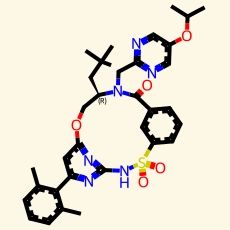 Cc1cccc(C)c1-c1cc2nc(n1)NS(=O)(=O)c1cccc(c1)C(=O)N(Cc1ncc(OC(C)C)cn1)[C@H](CC(C)(C)C)CO2